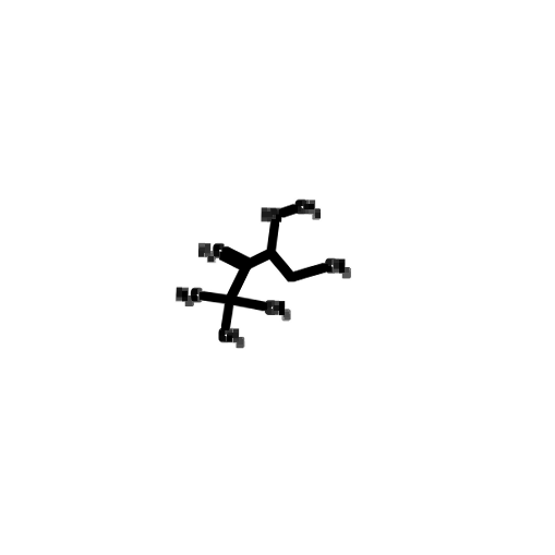 C=C(C(CC)NC)C(C)(C)C